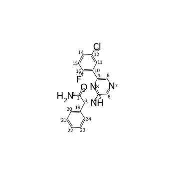 NC(=O)[C@H](Nc1cncc(-c2cc(Cl)ccc2F)n1)c1ccccc1